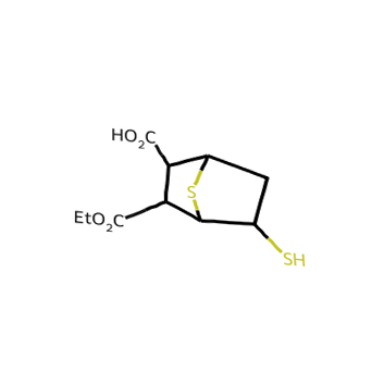 CCOC(=O)C1C2SC(CC2S)C1C(=O)O